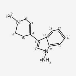 CC(C)N1CC=C(c2cn(N)c3ccccc23)CC1